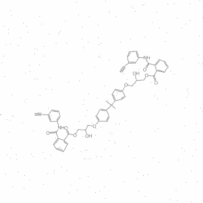 C#Cc1cccc(NC(=O)c2ccccc2C(=O)OCC(O)COc2ccc(C(C)(C)c3ccc(OCC(O)COC(=O)c4ccccc4C(=O)Nc4cccc(C#C)c4)cc3)cc2)c1